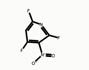 O=[N+]([O-])c1c(F)cc(F)nc1F